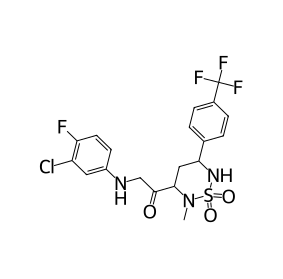 CN1C(C(=O)CNc2ccc(F)c(Cl)c2)CC(c2ccc(C(F)(F)F)cc2)NS1(=O)=O